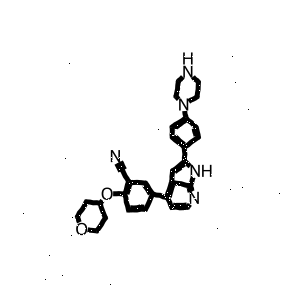 N#Cc1cc(-c2ccnc3[nH]c(-c4ccc(N5CCNCC5)cc4)cc23)ccc1OC1CCOCC1